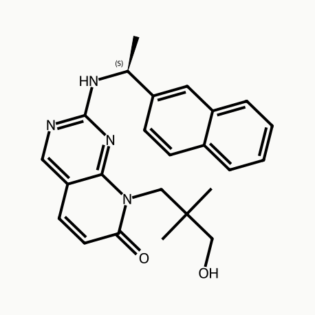 C[C@H](Nc1ncc2ccc(=O)n(CC(C)(C)CO)c2n1)c1ccc2ccccc2c1